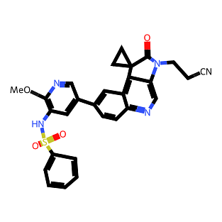 COc1ncc(-c2ccc3ncc4c(c3c2)C2(CC2)C(=O)N4CCC#N)cc1NS(=O)(=O)c1ccccc1